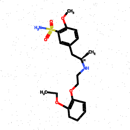 CCOC1=C(OCCN[C@H](C)Cc2ccc(OC)c(S(N)(=O)=O)c2)C=CCC1